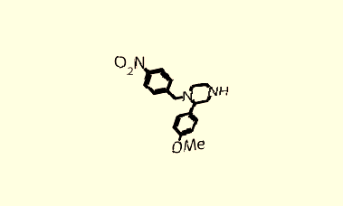 COc1ccc(C2CNCCN2Cc2ccc([N+](=O)[O-])cc2)cc1